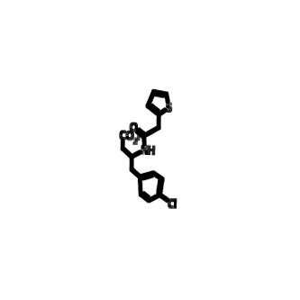 O=C(O)CC(Cc1ccc(Cl)cc1)NC(=O)Cc1cccs1